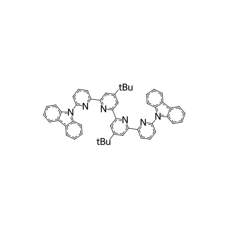 CC(C)(C)c1cc(-c2cc(C(C)(C)C)cc(-c3cccc(-n4c5ccccc5c5ccccc54)n3)n2)nc(-c2cccc(-n3c4ccccc4c4ccccc43)n2)c1